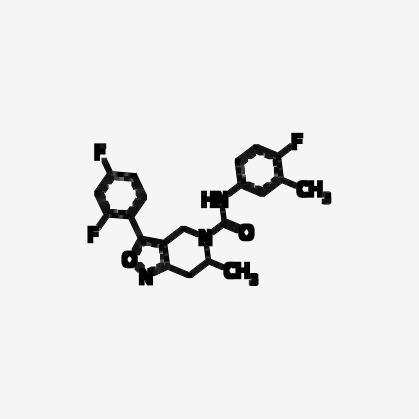 Cc1cc(NC(=O)N2Cc3c(noc3-c3ccc(F)cc3F)CC2C)ccc1F